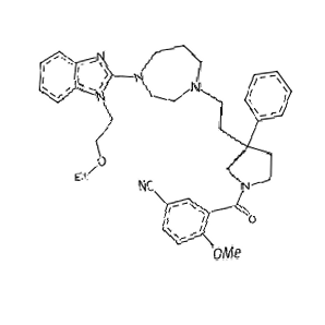 CCOCCn1c(N2CCCN(CCC3(c4ccccc4)CCN(C(=O)c4cc(C#N)ccc4OC)C3)CC2)nc2ccccc21